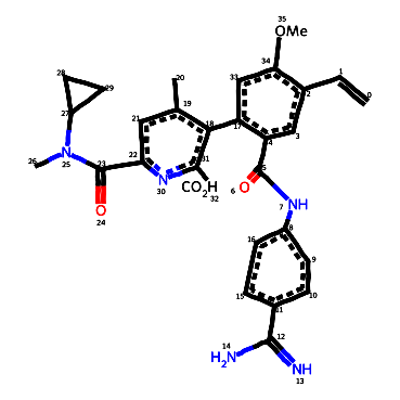 C=Cc1cc(C(=O)Nc2ccc(C(=N)N)cc2)c(-c2c(C)cc(C(=O)N(C)C3CC3)nc2C(=O)O)cc1OC